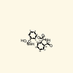 O=C(O)c1ccccc1.O=C1NS(=O)(=O)c2ccccc21.[NaH]